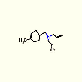 BC1=CCC(CN(CC=C)CCC(C)C)CC1